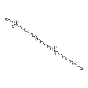 O=C(NCSCSCSC/N=C/OOCSCSCSCOC(=O)NCSCSCSC/N=C/OOCCO)OCCO